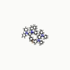 c1ccc(N(c2ccccc2)c2cc(-c3ccc4sc5ccc(N(c6ccccc6)c6ccc7c8ccccc8n(-c8ccccc8)c7c6)cc5c4c3)cc(N(c3ccccc3)c3cccc4ccccc34)c2)cc1